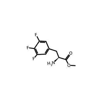 COC(=O)[C@@H](N)Cc1cc(F)c(F)c(F)c1